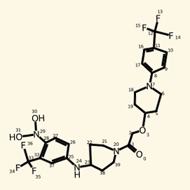 O=C(COC1CCN(c2ccc(C(F)(F)F)cc2)CC1)N1CCC(Nc2ccc(N(O)O)c(C(F)(F)F)c2)CC1